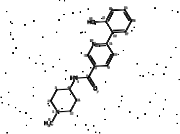 CN1CCC(NC(=O)c2ccc(-c3ccccc3O)nc2)CC1